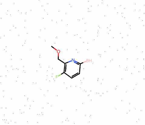 Bc1ccc(F)c(COC)n1